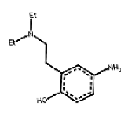 CCN(CC)CCc1cc(N)ccc1O